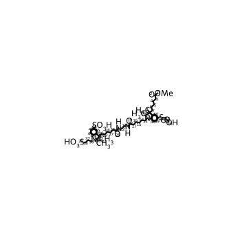 COC(=O)CCCCCC1(C)C(C)=[N+](CCCCCC(=O)NCCNC(=O)CCCCCC2(C)C(C)=[N+](CCCS(=O)(=O)O)c3ccc(S(=O)(=O)O)cc32)c2ccc(SOOO)cc21